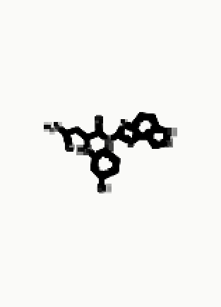 NC(=O)CC(Nc1cccc(O)c1)C(=O)Nc1nc2ccc3[nH]ncc3c2s1